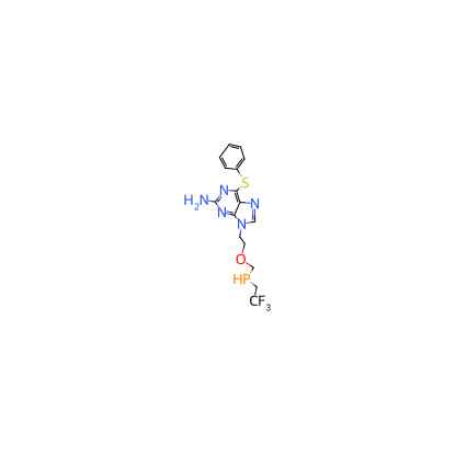 Nc1nc(Sc2ccccc2)c2ncn(CCOCPCC(F)(F)F)c2n1